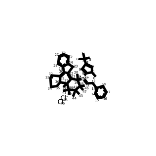 CC1C=C(C(C)(C)C)C=[C]1[Zr+2](=[CH]Cc1ccccc1)[C]1(C)C2=C3Cc4ccccc4C3=C3C=CCCC3C2(C)C(C)(C)C(C)(C)C1(C)C.[Cl-].[Cl-]